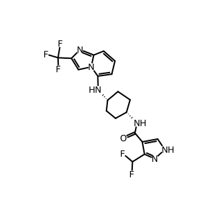 O=C(N[C@H]1CC[C@@H](Nc2cccc3nc(C(F)(F)F)cn23)CC1)c1c[nH]nc1C(F)F